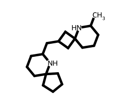 CC1CCCC2(CC(CC3CCCC4(CCCC4)N3)C2)N1